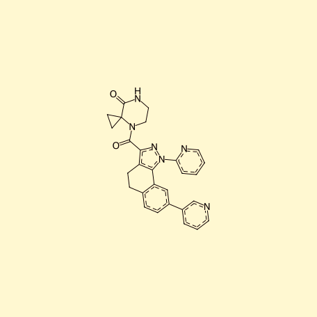 O=C(c1nn(-c2ccccn2)c2c1CCc1ccc(-c3cccnc3)cc1-2)N1CCNC(=O)C12CC2